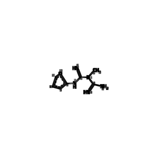 CN(C(=N)N)C(=N)Nc1ccco1